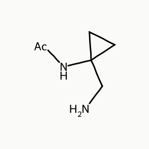 CC(=O)NC1(CN)CC1